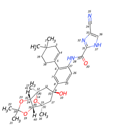 CC1(C)CC=C(c2cc([C@@]3(O)C[C@@]4(C)O[C@@](C)(C3)[C@@H]3OC(C)(C)O[C@@H]34)ccc2NC(=O)c2nc(C#N)c[nH]2)CC1